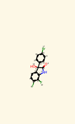 O=C1Nc2c(ccc(F)c2F)C1(O)c1ccc(Br)cc1